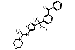 CC(C)(c1cccc(C(=O)c2ccccc2)c1)c1cc(/N=C(\N)N2CCOCC2)on1